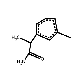 C[C](C(N)=O)c1cccc(F)c1